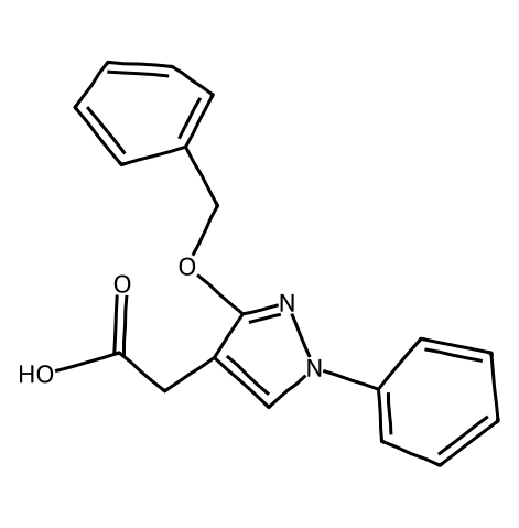 O=C(O)Cc1cn(-c2ccccc2)nc1OCc1ccccc1